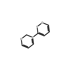 C1=COCS(C2=CC=COS2)=C1